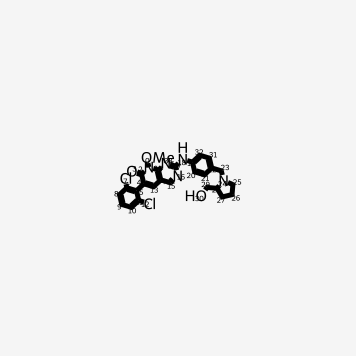 COn1c(=O)c(-c2c(Cl)cccc2Cl)cc2cnc(Nc3ccc(CN4CCCC4CO)cc3)nc21